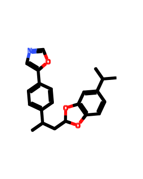 CC(C)c1ccc2c(c1)OC(CC(C)c1ccc(-c3cnco3)cc1)O2